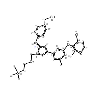 Cc1cc(-c2cn(COCC[Si](C)(C)C)/c(=N/c3cnc(CO)cn3)s2)nc(Oc2c(F)cccc2Cl)n1